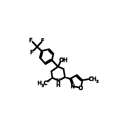 Cc1cc([C@@H]2CC(O)(c3ccc(C(F)(F)F)cc3)C[C@H](C)N2)no1